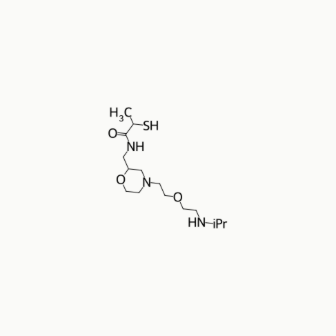 CC(C)NCCOCCN1CCOC(CNC(=O)C(C)S)C1